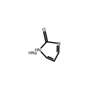 O=c1nccc[nH]1.[NaH]